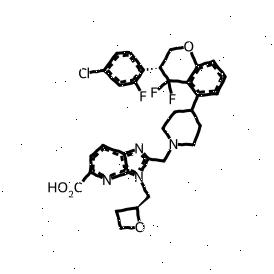 O=C(O)c1ccc2nc(CN3CCC(c4cccc5c4C(F)(F)[C@H](c4ccc(Cl)cc4F)CO5)CC3)n(C[C@@H]3CCO3)c2n1